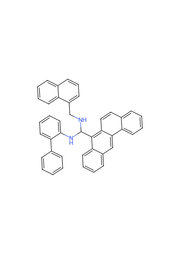 c1ccc(-c2ccccc2NC(NCc2cccc3ccccc23)c2c3ccccc3cc3c2ccc2ccccc23)cc1